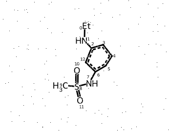 CCNc1cccc(NS(C)(=O)=O)c1